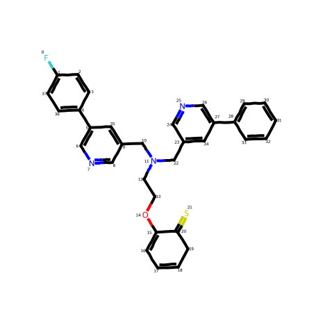 Fc1ccc(-c2cncc(CN(CCOC3=CC=CCC3=S)Cc3cncc(-c4ccccc4)c3)c2)cc1